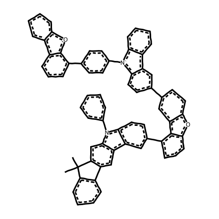 CC1(C)c2ccccc2-c2cc3c4cc(-c5cccc6oc7ccc(-c8ccc9c(c8)c8ccccc8n9-c8ccc(-c9cccc%10c9oc9ccccc9%10)cc8)cc7c56)ccc4n(-c4ccccc4)c3cc21